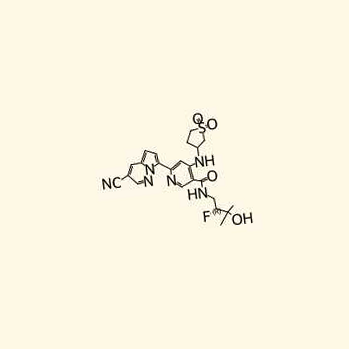 CC(C)(O)[C@H](F)CNC(=O)c1cnc(-c2ccc3cc(C#N)cnn23)cc1NC1CCS(=O)(=O)C1